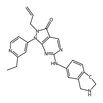 C=CCn1c(=O)c2cnc(Nc3ccc4c(c3)CNCC4)nc2n1-c1ccnc(CC)c1